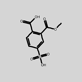 COC(=O)c1cc(S(=O)(=O)O)ccc1C(=O)O